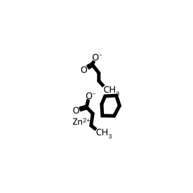 C1CCCCC1.CCCC(=O)[O-].CCCC(=O)[O-].[Zn+2]